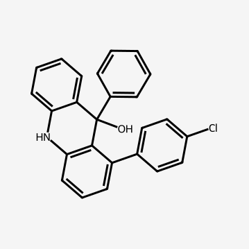 OC1(c2ccccc2)c2ccccc2Nc2cccc(-c3ccc(Cl)cc3)c21